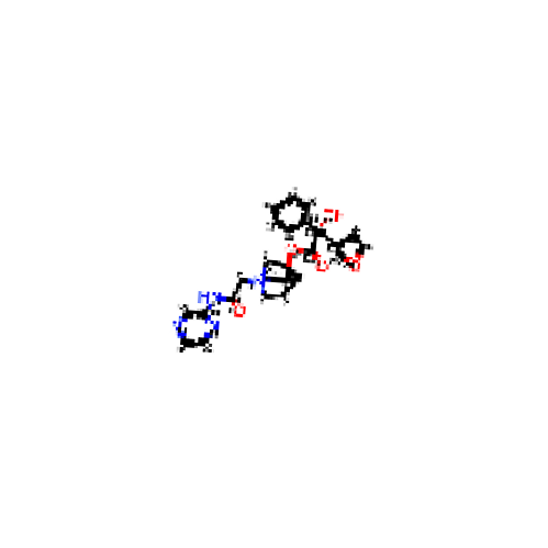 O=C(C[N+]12CCC(CC1)C(OC(=O)[C@@](O)(c1ccccc1)c1ccoc1)C2)Nc1cnccn1